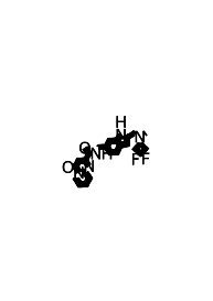 CN(Cc1cc2ccc(CNC(=O)c3cc(=O)n4ccccc4n3)cc2[nH]1)C1CC(F)(F)C1